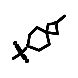 CN1CC2(CCN(S(C)(=O)=O)CC2)C1